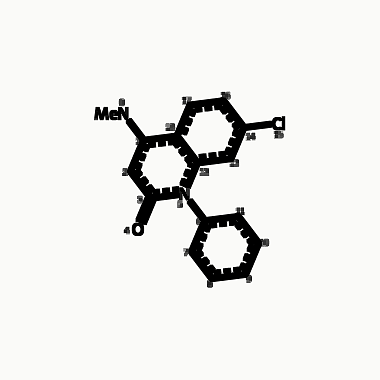 CNc1cc(=O)n(-c2ccccc2)c2cc(Cl)ccc12